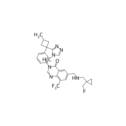 CC1CC(c2cccc(-n3cnc4c(C(F)(F)F)cc(CNCC5(CF)CC5)cc4c3=O)c2)(c2nncn2C)C1